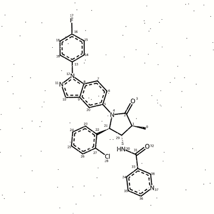 C[C@@H]1C(=O)N(c2ccc3c(cnn3-c3ccc(F)cc3)c2)[C@H](c2ccccc2Cl)[C@H]1NC(=O)c1cccnc1